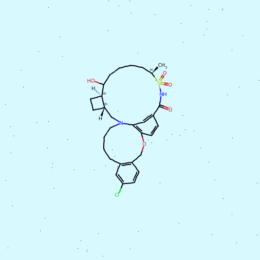 C[C@@H]1CCCCC(O)[C@@H]2CC[C@H]2CN2CCCCc3cc(Cl)ccc3COc3ccc(cc32)C(=O)NS1(=O)=O